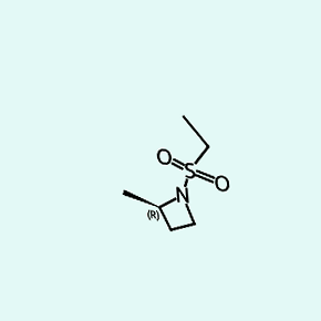 CCS(=O)(=O)N1CC[C@H]1C